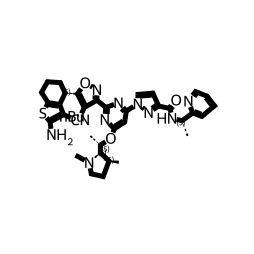 CCCCc1c(-c2nc(O[C@@H](C)[C@@H]3[C@@H](C)CCN3C)cc(-n3ccc(C(=O)N[C@@H](C)c4ccccn4)n3)n2)noc1[C@H]1CCCc2sc(N)c(C#N)c21